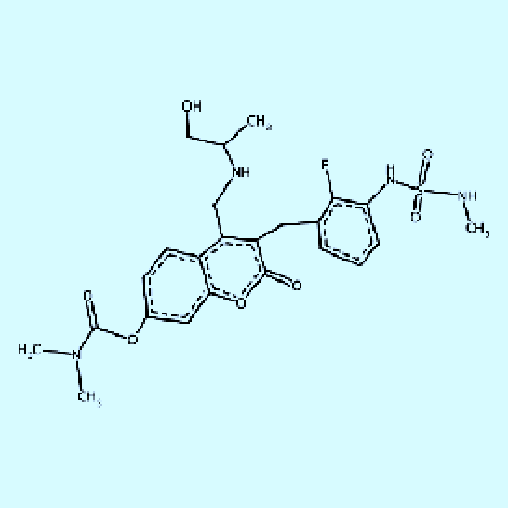 CNS(=O)(=O)Nc1cccc(Cc2c(CNC(C)CO)c3ccc(OC(=O)N(C)C)cc3oc2=O)c1F